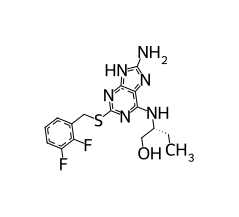 CC[C@H](CO)Nc1nc(SCc2cccc(F)c2F)nc2[nH]c(N)nc12